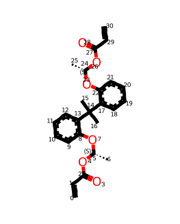 C=CC(=O)O[C@@H](C)Oc1ccccc1C(C)(C)c1ccccc1O[C@H](C)OC(=O)C=C